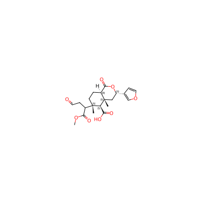 COC(=O)C(CC=O)[C@]1(C)CC[C@H]2C(=O)O[C@H](c3ccoc3)C[C@]2(C)[C@H]1C(=O)O